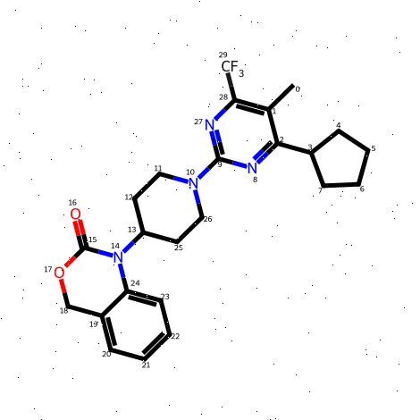 Cc1c(C2CCCC2)nc(N2CCC(N3C(=O)OCc4ccccc43)CC2)nc1C(F)(F)F